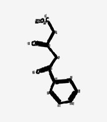 CCOC(=O)CC(=O)CC(=O)c1ccccc1